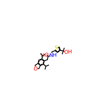 CC(C)c1cc2c(c(C(C)C)c1CC(O)NCc1cc(C(C)(C)O)cs1)COC2